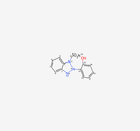 O=S(=O)(O)N1c2ccccc2NN1c1ccccc1O